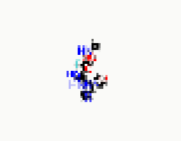 O=C(NC12CC(C1)C2)O[C@H]1CO[C@@H](c2cc(Nc3nc(N4CCOCC4)cc4nccn34)n[nH]2)[C@H]1F